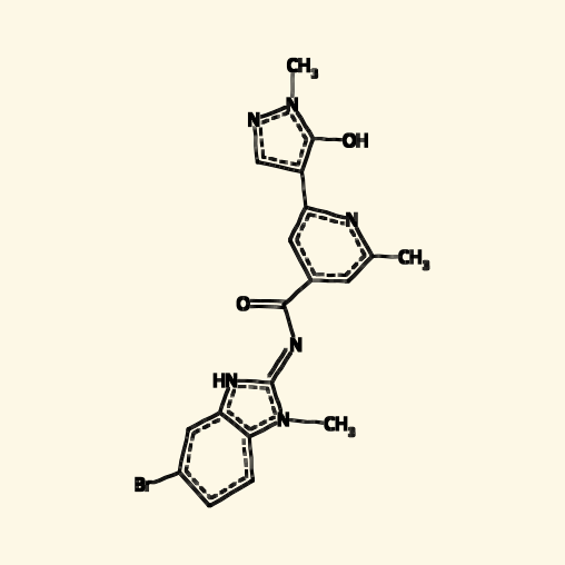 Cc1cc(C(=O)/N=c2\[nH]c3cc(Br)ccc3n2C)cc(-c2cnn(C)c2O)n1